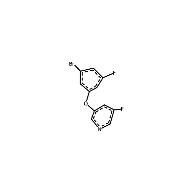 Fc1cncc(Oc2cc(F)cc(Br)c2)c1